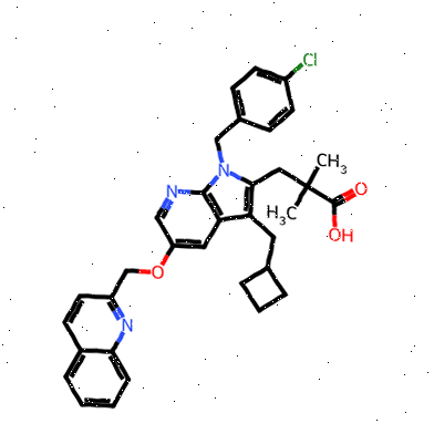 CC(C)(Cc1c(CC2CCC2)c2cc(OCc3ccc4ccccc4n3)cnc2n1Cc1ccc(Cl)cc1)C(=O)O